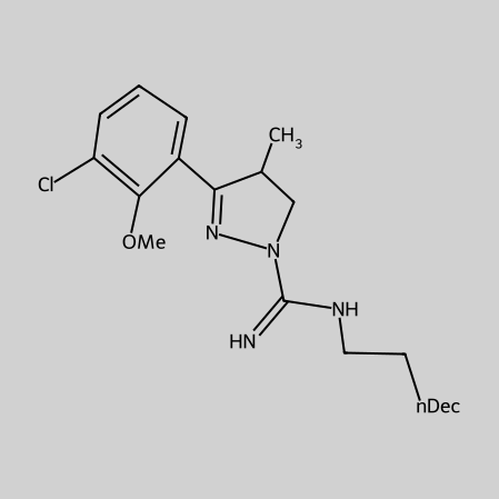 CCCCCCCCCCCCNC(=N)N1CC(C)C(c2cccc(Cl)c2OC)=N1